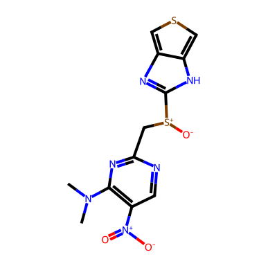 CN(C)c1nc(C[S+]([O-])c2nc3cscc3[nH]2)ncc1[N+](=O)[O-]